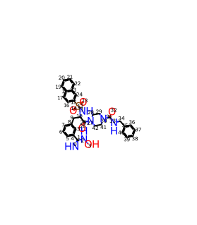 N=C(NO)c1cccc(CC(NS(=O)(=O)c2ccc3ccccc3c2)C(=O)N2CCN(C(=O)NCc3ccccc3)CC2)c1